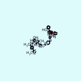 Cc1ncsc1-c1ccc([C@H](C)NC(=O)[C@H]2C[C@H](O)CN2C(=O)C(c2cc(OCCN3CCC(OC4CC(Oc5cc(N6C7CC[C@@H]6CN(c6cc(-c8ccccc8O)nnc6N)C7)ccn5)C4)CC3)no2)C(C)C)cn1